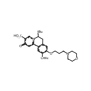 COc1cc2c(cc1OCCCN1CCOCC1)CC(C(C)(C)C)n1cc(C(=O)O)c(=O)cc1-2